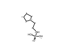 O=P(O)(O)NCCN1CCCC1